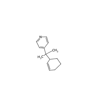 CC(C)(c1ccncc1)C1C=CCCC1